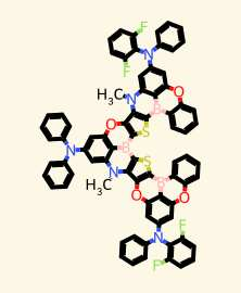 CN1c2cc(N(c3ccccc3)c3c(F)cccc3F)cc3c2B(c2ccccc2O3)c2sc3c(c21)Oc1cc(N(c2ccccc2)c2ccccc2)cc2c1B3c1sc3c(c1N2C)Oc1cc(N(c2ccccc2)c2c(F)cccc2F)cc2c1B3c1ccccc1O2